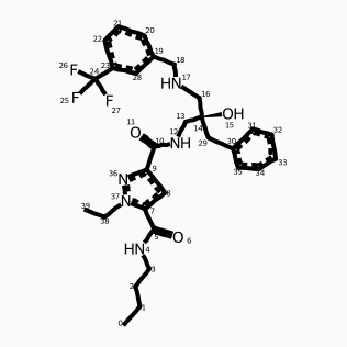 CCCCNC(=O)c1cc(C(=O)NC[C@](O)(CNCc2cccc(C(F)(F)F)c2)Cc2ccccc2)nn1CC